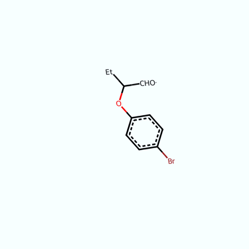 CCC([C]=O)Oc1ccc(Br)cc1